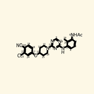 CC(=O)Nc1cccc(Nc2ncnc(N3CCC(Oc4ccc(C#N)c(Cl)c4)CC3)n2)c1C